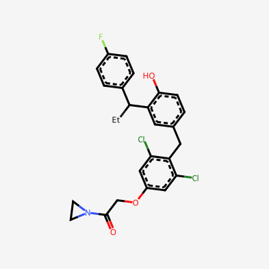 CCC(c1ccc(F)cc1)c1cc(Cc2c(Cl)cc(OCC(=O)N3CC3)cc2Cl)ccc1O